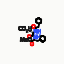 COC(=O)[C@H](Cc1ccccc1)NC(=O)[C@H](CC(=O)O)NC(=O)Cc1ccccc1